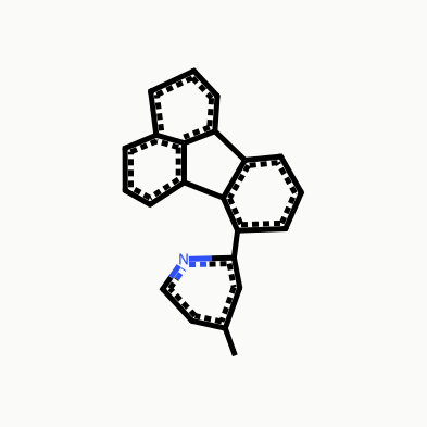 Cc1ccnc(-c2cccc3c2-c2cccc4cccc-3c24)c1